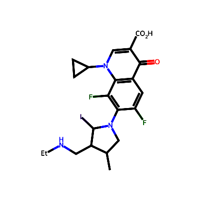 CCNCC1C(C)CN(c2c(F)cc3c(=O)c(C(=O)O)cn(C4CC4)c3c2F)C1I